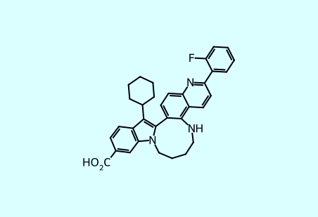 O=C(O)c1ccc2c(C3CCCCC3)c3n(c2c1)CCCCNc1c-3ccc2nc(-c3ccccc3F)ccc12